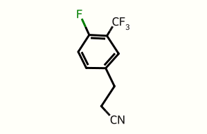 N#CCCc1ccc(F)c(C(F)(F)F)c1